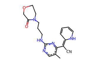 Cc1cnc(NCCCN2CCOCC2=O)nc1/C(C#N)=C1\C=CC=CN1